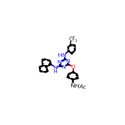 CC(=O)Nc1ccc(Oc2nc(Nc3cccc(C(F)(F)F)c3)nc(Nc3cccc4ccccc34)n2)cc1